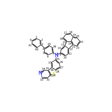 c1ccc(-c2ccc(N(c3ccc4c(c3)-c3cccc5cccc-4c35)c3ccc4sc5ccncc5c4c3)cc2)cc1